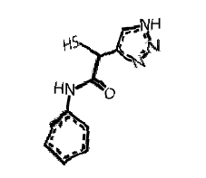 O=C(Nc1ccccc1)C(S)c1c[nH]nn1